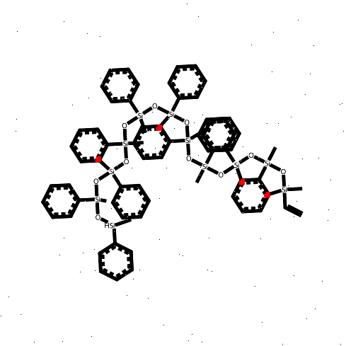 C=C[Si](C)(C)O[Si](C)(O[Si](C)(O[Si](C)(O[Si](C)(O[Si](C)(O[Si](C)(O[Si](C)(O[Si](C)(O[Si](C)(O[SiH](C)c1ccccc1)c1ccccc1)c1ccccc1)c1ccccc1)c1ccccc1)c1ccccc1)c1ccccc1)c1ccccc1)c1ccccc1)c1ccccc1